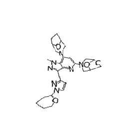 Cn1nc(-c2ccn(C3CCCCO3)n2)c2nc(N3CC4CCC(C3)O4)cc(N3CC4CCC(C3)O4)c21